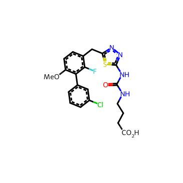 COc1ccc(Cc2nnc(NC(=O)NCCCC(=O)O)s2)c(F)c1-c1cccc(Cl)c1